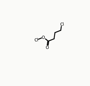 O=C(CCCCl)OCl